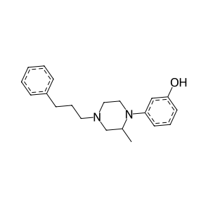 CC1CN(CCCc2ccccc2)CCN1c1cccc(O)c1